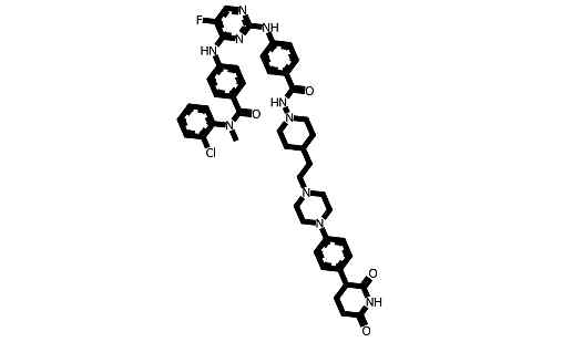 CN(C(=O)c1ccc(Nc2nc(Nc3ccc(C(=O)NN4CCC(CCN5CCN(c6ccc(C7CCC(=O)NC7=O)cc6)CC5)CC4)cc3)ncc2F)cc1)c1ccccc1Cl